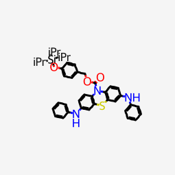 CC(C)[Si](Oc1ccc(COC(=O)N2c3ccc(Nc4ccccc4)cc3Sc3cc(Nc4ccccc4)ccc32)cc1)(C(C)C)C(C)C